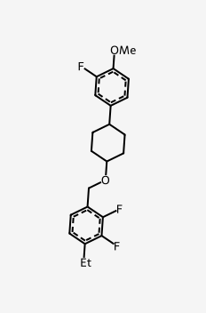 CCc1ccc(COC2CCC(c3ccc(OC)c(F)c3)CC2)c(F)c1F